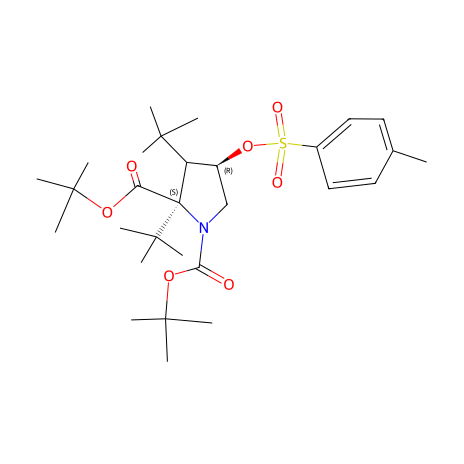 Cc1ccc(S(=O)(=O)O[C@H]2CN(C(=O)OC(C)(C)C)[C@](C(=O)OC(C)(C)C)(C(C)(C)C)C2C(C)(C)C)cc1